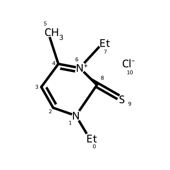 CCn1ccc(C)[n+](CC)c1=S.[Cl-]